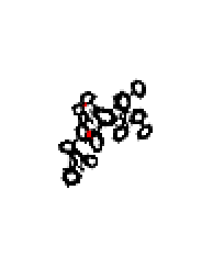 c1ccc(-c2cccc([Si](c3ccccc3)(c3cccc(-c4ccccc4)c3)c3cc(-c4ccccc4)c(-n4c5ccccc5c5cc(-c6cccc7c6c6ccccc6n7-c6ccccc6)ccc54)c(-c4ccccc4)c3)c2)cc1